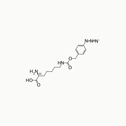 [N-]=[N+]=Nc1ccc(COC(=O)NCCCCC[C@H](N)C(=O)O)cc1